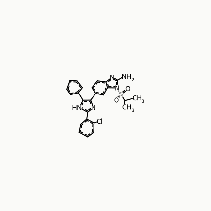 CC(C)S(=O)(=O)n1c(N)nc2ccc(-c3nc(-c4ccccc4Cl)[nH]c3-c3ccccc3)cc21